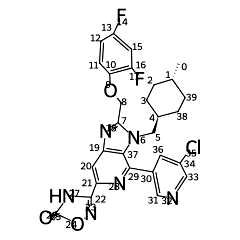 C[C@H]1CC[C@H](Cn2c(COc3ccc(F)cc3F)nc3cc(-c4noc(=O)[nH]4)nc(-c4cncc(Cl)c4)c32)CC1